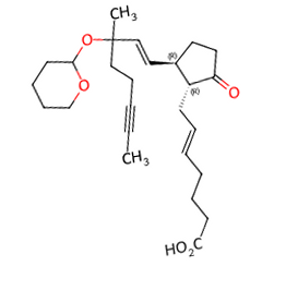 CC#CCCC(C)(C=C[C@H]1CCC(=O)[C@@H]1CC=CCCCC(=O)O)OC1CCCCO1